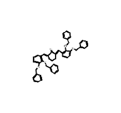 O=C1/C(=C/c2cccc(OCc3ccccc3)c2OCc2ccccc2)CCC/C1=C\c1cccc(OCc2ccccc2)c1OCc1ccccc1